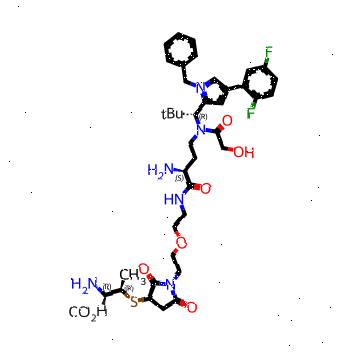 C[C@@H](SC1CC(=O)N(CCOCCNC(=O)[C@@H](N)CCN(C(=O)CO)[C@@H](c2cc(-c3cc(F)ccc3F)cn2Cc2ccccc2)C(C)(C)C)C1=O)[C@H](N)C(=O)O